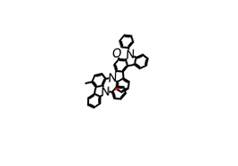 Cc1ccc(-n2c3ccccc3c3c4c5ccccc5n5c4c(cc32)Oc2ccccc2-5)c2c1c1ccccc1n2-c1ccccc1